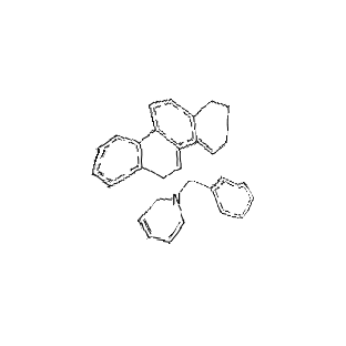 C1=CCN(Cc2ccccc2)C=C1.C1=c2c(ccc3c2=CCc2ccccc2-3)CCC1